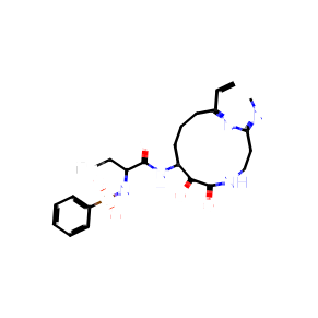 C=C/C1=N\C(=N/C)CCNC(=O)C(=O)C(NC(=O)C(CC(C)C)NS(=O)(=O)c2ccccc2)CCC1